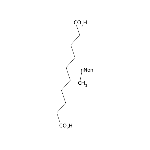 CCCCCCCCCC.O=C(O)CCCCCCCCC(=O)O